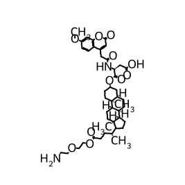 COc1ccc2c(CC(=O)N[C@@H](CC(=O)O)C(=O)O[C@@H]3CC[C@@]4(C)[C@H](CC[C@@H]5[C@@H]4CC[C@]4(C)C([C@H](C)CCC(=O)OCCOCCN)CC[C@@H]54)C3)cc(=O)oc2c1